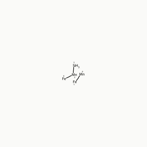 [Mn][Fe].[SiH3][Mn][Fe]